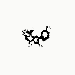 Cc1cc2n[nH]c(=O)n2c2cc(-c3cccc(N)c3)c(O)cc12